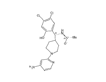 CC(C)(C)[S@+]([O-])N[C@@H](c1cc(Cl)c(Cl)cc1O)C1CCN(c2cc(N)ccn2)CC1